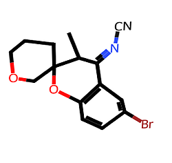 CC1/C(=N\C#N)c2cc(Br)ccc2OC12CCCOC2